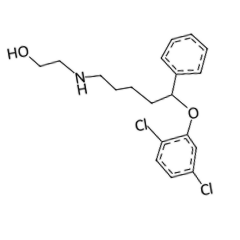 OCCNCCCCC(Oc1cc(Cl)ccc1Cl)c1ccccc1